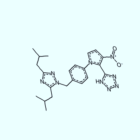 CC(C)Cc1nc(CC(C)C)n(Cc2ccc(-n3ccc([N+](=O)[O-])c3-c3nnn[nH]3)cc2)n1